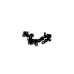 Cc1c(S(C)(=O)=O)c(-c2cc(F)cc(N3CCN(c4ccc(NS(=O)(=O)c5ccc(NC(CCN6CCC(C(=O)O)CC6)Cc6cccs6)c(S(=O)(=O)C(F)(F)F)c5)cc4)CC3)c2)c(-c2ccc(Cl)cc2)n1C(C)C